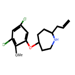 C=CCC1CCC(Oc2cc(Cl)cc(Cl)c2OC)CCN1